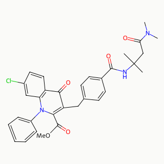 COC(=O)c1c(Cc2ccc(C(=O)NC(C)(C)CC(=O)N(C)C)cc2)c(=O)c2ccc(Cl)cc2n1-c1ccccc1